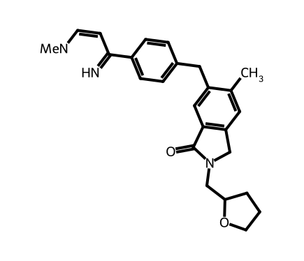 CN/C=C\C(=N)c1ccc(Cc2cc3c(cc2C)CN(CC2CCCO2)C3=O)cc1